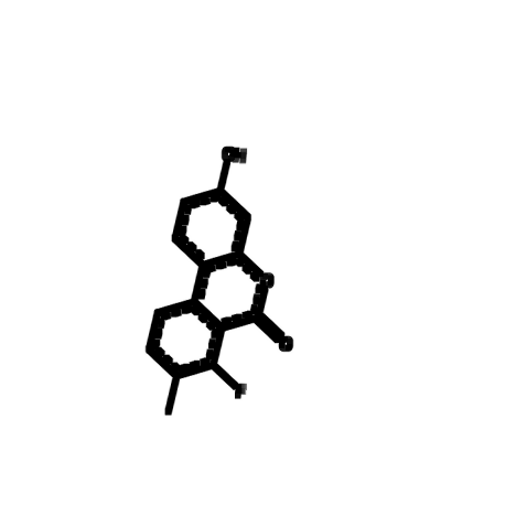 Cc1ccc2c(c1F)c(=O)oc1cc(O)ccc12